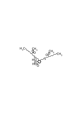 CCCCCCCC(CCSCCCc1ccc(C(=O)O)c(C(=O)O)c1CCCSCCC(CCCCCCC)C(=O)OCC)C(=O)OCC